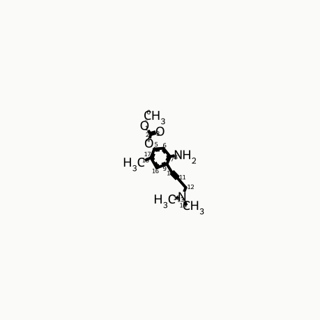 COC(=O)Oc1cc(N)c(C#CCN(C)C)cc1C